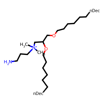 CCCCCCCCCCCCCCCCOCC(C[N+](C)(C)CCCN)OCCCCCCCCCCCCCCCC